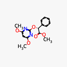 COC(=O)[C@H](Oc1nc(OC)cc(OC)n1)c1ccccc1